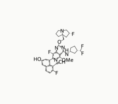 C#Cc1c(F)ccc2cc(O)cc(-c3nc(OC)c4c(N[C@@H]5CC[C@H](C(F)F)C5)nc(OC[C@@]56CCCN5C[C@H](F)C6)nc4c3F)c12